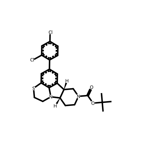 CC(C)(C)OC(=O)N1CC[C@H]2[C@@H](C1)c1cc(-c3ccc(Cl)cc3Cl)cc3c1N2CCS3